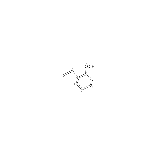 O=C(O)c1ccccc1C=S